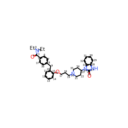 CCN(CC)C(=O)c1ccc(Cc2ccccc2OCCCN2CCC(n3c(=O)[nH]c4ccccc43)CC2)cc1